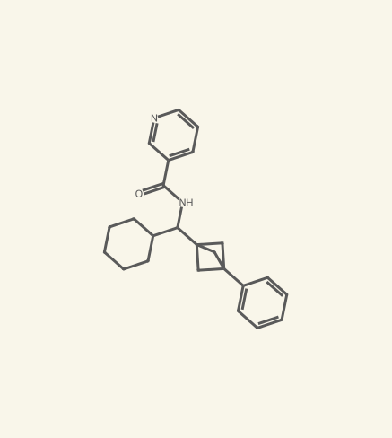 O=C(NC(C1CCCCC1)C12CC(c3ccccc3)(C1)C2)c1cccnc1